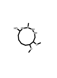 COC1CCCCC(O)NN(C)NNCC1OC